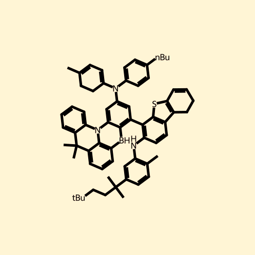 CCCCc1ccc(N(C2=CC=C(C)CC2)c2cc(-c3c(Nc4cc(C(C)(C)CCC(C)(C)C)ccc4C)ccc4c5c(sc34)C=CCC5)c3c(c2)N2c4ccccc4C(C)(C)c4cccc(c42)B3)cc1